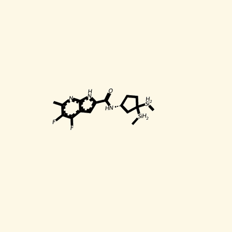 C[SiH2]C1([SiH2]C)CC[C@@H](NC(=O)c2cc3c(F)c(F)c(C)nc3[nH]2)C1